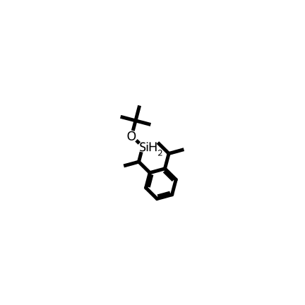 CC(C)c1ccccc1C(C)[SiH2]OC(C)(C)C